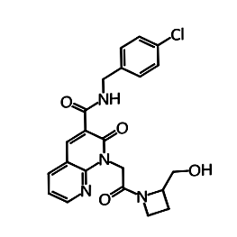 O=C(NCc1ccc(Cl)cc1)c1cc2cccnc2n(CC(=O)N2CCC2CO)c1=O